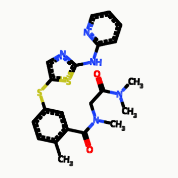 Cc1ccc(Sc2cnc(Nc3ccccn3)s2)cc1C(=O)N(C)CC(=O)N(C)C